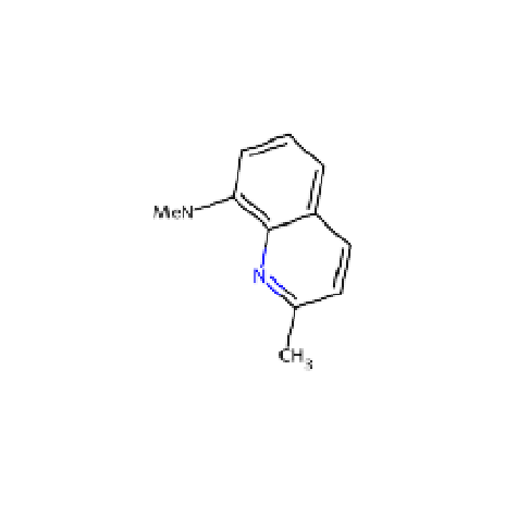 CNc1cccc2ccc(C)nc12